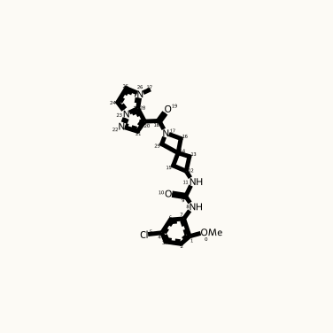 COc1ccc(Cl)cc1NC(=O)NC1CC2(C1)CN(C(=O)c1cnn3ccn(C)c13)C2